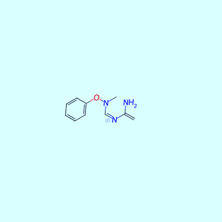 C=C(N)/N=C\N(C)Oc1ccccc1